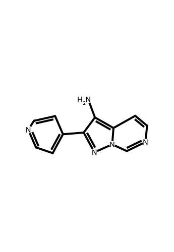 Nc1c(-c2ccncc2)nn2cnccc12